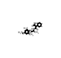 COc1cc(C)c(NC[C@H](C)NC(=O)C(C(N)=O)C2CCCCC2)c(C)c1